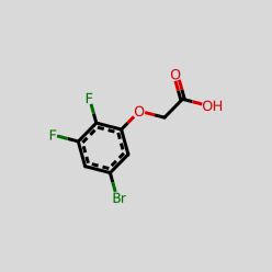 O=C(O)COc1cc(Br)cc(F)c1F